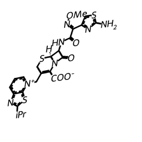 CON=C(C(=O)NC1C(=O)N2C(C(=O)[O-])=C(C[n+]3cccc4nc(C(C)C)sc43)CS[C@@H]12)c1csc(N)n1